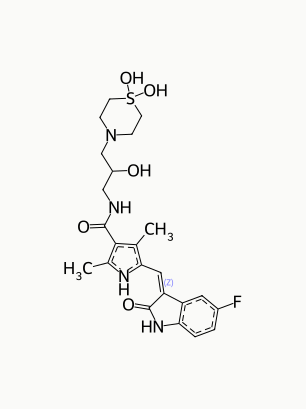 Cc1[nH]c(/C=C2\C(=O)Nc3ccc(F)cc32)c(C)c1C(=O)NCC(O)CN1CCS(O)(O)CC1